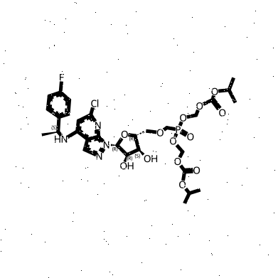 CC(C)OC(=O)OCOP(=O)(COC[C@H]1O[C@@H](n2ncc3c(N[C@@H](C)c4ccc(F)cc4)cc(Cl)nc32)[C@H](O)[C@@H]1O)OCOC(=O)OC(C)C